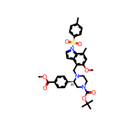 COC(=O)c1ccc([C@@H]2CN(C(=O)OC(C)(C)C)CCN2Cc2c(OC)cc(C)c3c2ccn3S(=O)(=O)c2ccc(C)cc2)cc1